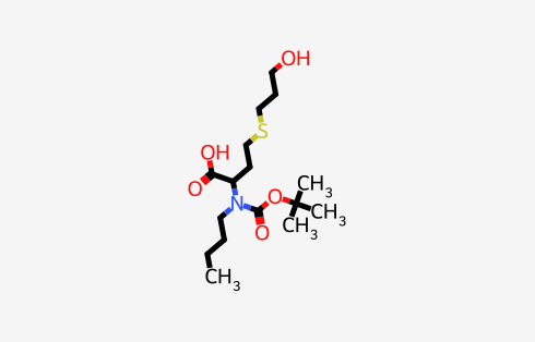 CCCCN(C(=O)OC(C)(C)C)C(CCSCCCO)C(=O)O